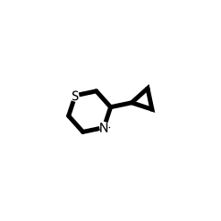 C1CSCC(C2CC2)[N]1